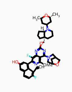 C#Cc1c(F)ccc2cc(O)cc(-c3nc(OC)c4c(N5CC6COC(C6)C5)nc(OC[C@]56CCC[C@H]5N(C5C[C@@H](C)O[C@@H](C)C5)CCC6)nc4c3F)c12